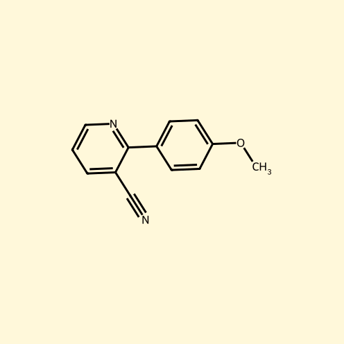 COc1ccc(-c2ncccc2C#N)cc1